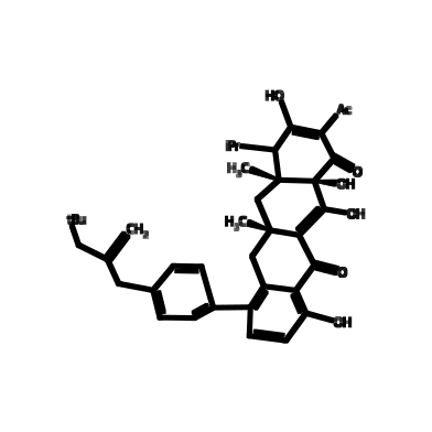 C=C(Cc1ccc(-c2ccc(O)c3c2C[C@]2(C)C[C@]4(C)C(C(C)C)C(O)=C(C(C)=O)C(=O)[C@]4(O)C(O)=C2C3=O)cc1)CC(C)(C)C